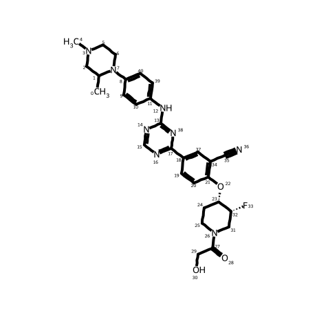 CC1CN(C)CCN1c1ccc(Nc2ncnc(-c3ccc(O[C@H]4CCN(C(=O)CO)C[C@H]4F)c(C#N)c3)n2)cc1